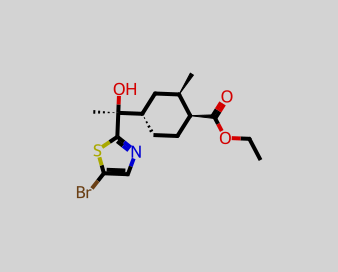 CCOC(=O)[C@H]1CC[C@H]([C@](C)(O)c2ncc(Br)s2)C[C@H]1C